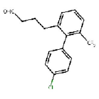 O=CCCCc1cccc(C(F)(F)F)c1-c1ccc(Cl)cc1